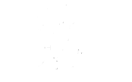 Oc1cccn1CC1CCCCN1CCc1cccc2ccccc12